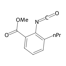 CCCc1cccc(C(=O)OC)c1N=C=O